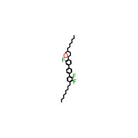 CCCCCCCCCc1ccc(-c2ccc(-c3ccc(C4CCC(CCCCCCC)CO4)c(F)c3)cc2)c(F)c1F